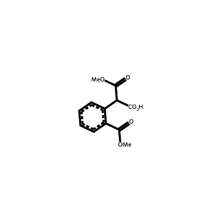 COC(=O)c1ccccc1C(C(=O)O)C(=O)OC